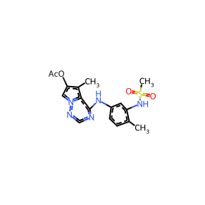 CC(=O)Oc1cn2ncnc(Nc3ccc(C)c(NS(C)(=O)=O)c3)c2c1C